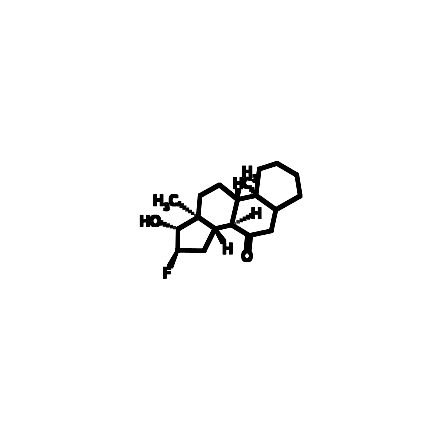 C[C@]12CC[C@H]3[C@@H](C(=O)CC4CCCC[C@@]43C)[C@@H]1C[C@@H](F)[C@@H]2O